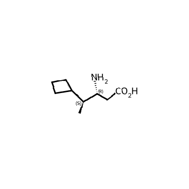 C[C@@H](C1CCC1)[C@H](N)CC(=O)O